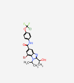 CC(C)n1c([C@H](C)O)nc2cc(C(=O)Nc3ccc(OC(F)(F)Cl)cc3)cc(Br)c21